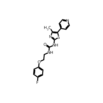 Cc1nc(NC(=O)NCCOc2ccc(F)cc2)sc1-c1ccncc1